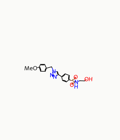 COc1ccc(Cn2cc(-c3ccc(S(=O)(=O)NCCO)cc3)nn2)cc1